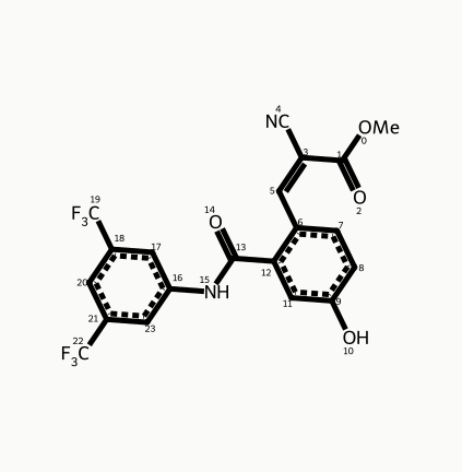 COC(=O)C(C#N)=Cc1ccc(O)cc1C(=O)Nc1cc(C(F)(F)F)cc(C(F)(F)F)c1